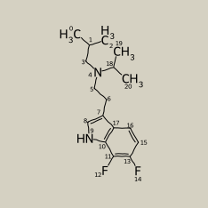 CC(C)CN(CCc1c[nH]c2c(F)c(F)ccc12)C(C)C